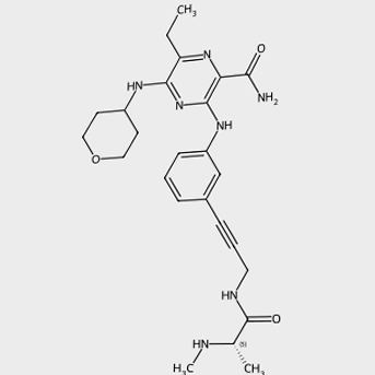 CCc1nc(C(N)=O)c(Nc2cccc(C#CCNC(=O)[C@H](C)NC)c2)nc1NC1CCOCC1